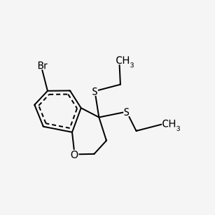 CCSC1(SCC)CCOc2ccc(Br)cc21